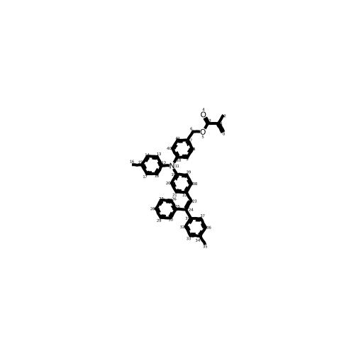 C=C(C)C(=O)OCc1ccc(N(c2ccc(C)cc2)c2ccc(/C=C(\c3ccccc3)c3ccc(C)cc3)cc2)cc1